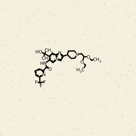 CCOC(CN1CCC(c2cn3cc(NC(=O)c4cccc(C(F)(F)F)n4)c(C(C)(C)O)cc3n2)CC1)OCC